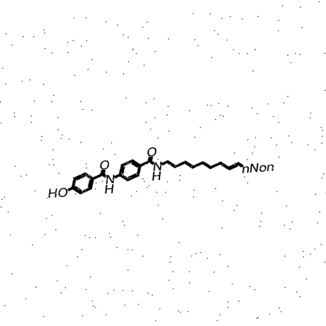 CCCCCCCCCC=CCCCCCCCNC(=O)c1ccc(NC(=O)c2ccc(O)cc2)cc1